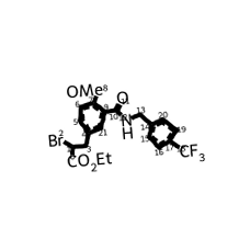 CCOC(=O)C(Br)Cc1ccc(OC)c(C(=O)NCc2ccc(C(F)(F)F)cc2)c1